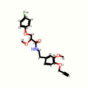 C#CCOc1ccc(CCNC(=O)C(COc2ccc(F)cc2)OC)cc1OC